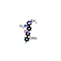 COc1cc(F)ccc1-c1ccn(-c2ccc3c4c(n(C)c3c2)CCN(C)C4)c(=O)c1